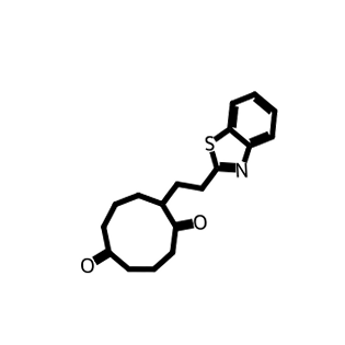 O=C1CCCC(=O)C(CCc2nc3ccccc3s2)CCC1